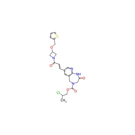 CC(Cl)COC(=O)N1CC(=O)Nc2ncc(C=CC(=O)N3CC(OCc4cccs4)C3)cc2C1